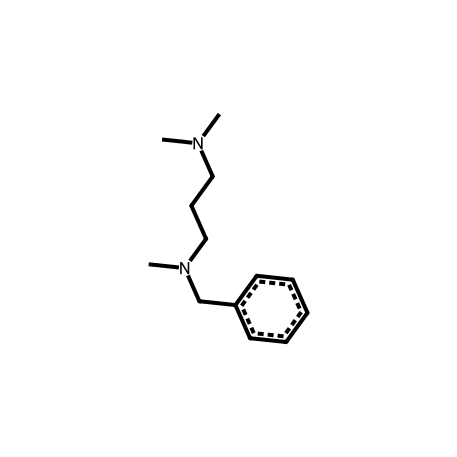 CN(C)CCCN(C)Cc1ccccc1